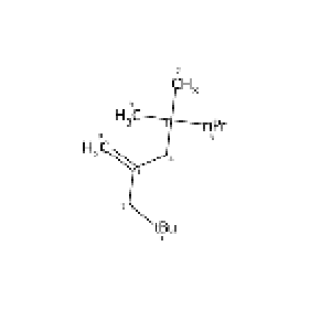 C=C(CC(C)(C)C)CC(C)(C)CCC